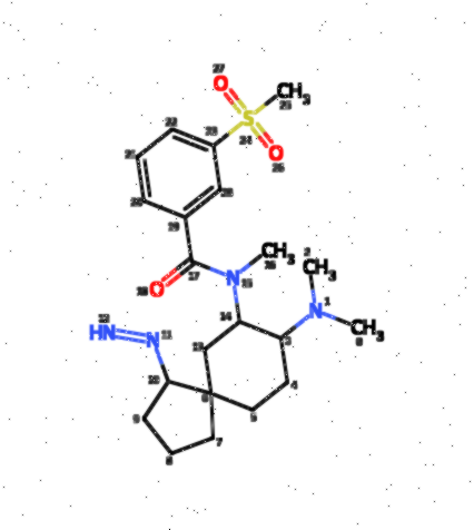 CN(C)C1CCC2(CCCC2N=N)CC1N(C)C(=O)c1cccc(S(C)(=O)=O)c1